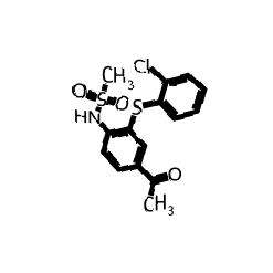 CC(=O)c1ccc(NS(C)(=O)=O)c(Sc2ccccc2Cl)c1